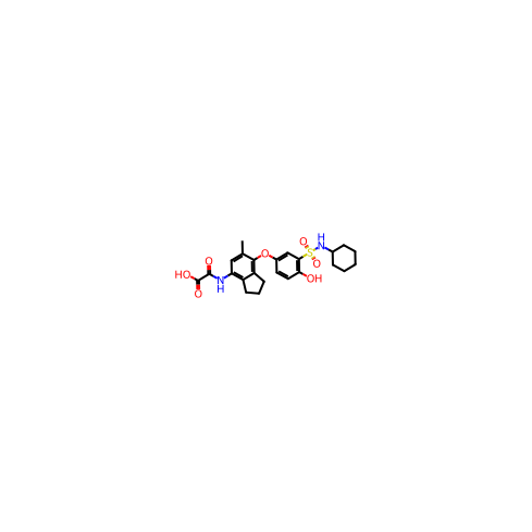 Cc1cc(NC(=O)C(=O)O)c2c(c1Oc1ccc(O)c(S(=O)(=O)NC3CCCCC3)c1)CCC2